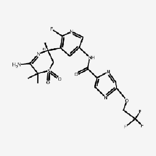 CC1(C)C(N)=N[C@](C)(c2cc(NC(=O)c3cnc(OCC(F)(F)F)cn3)cnc2F)CS1(=O)=O